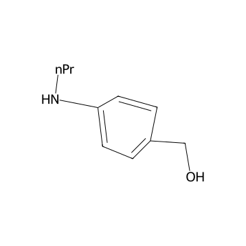 CCCNc1ccc(CO)cc1